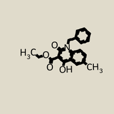 CCOC(=O)c1c(O)c2cc(C)ccc2n(Cc2ccccc2)c1=O